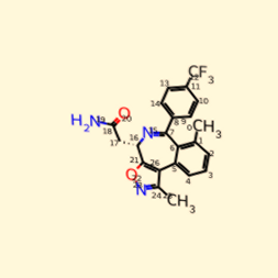 Cc1cccc2c1C(c1ccc(C(F)(F)F)cc1)=N[C@@H](CC(N)=O)c1onc(C)c1-2